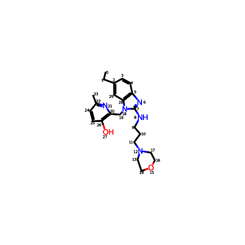 CCc1ccc2nc(NCCCN3CCOCC3)n(Cc3nc(C)ccc3O)c2c1